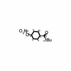 CC(C)(C)C(=O)[C@H]1CC[C@@H](O[N+](=O)[O-])CC1